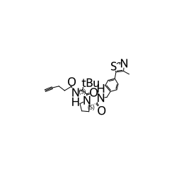 C#CCCC(=O)N[C@H](C(=O)N1CCC[C@H]1C(=O)NCc1ccc(-c2scnc2C)cc1)C(C)(C)C